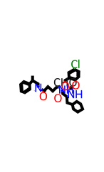 CC(CN(C)C(=O)CCC(C=O)NC(=O)C(CC1CCCCC1)NC(=O)OCc1cccc(Cl)c1)c1ccccc1